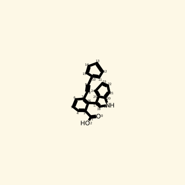 O=C(O)c1cccc(C#Cc2ccccc2)c1-c1c[nH]c2ccccc12